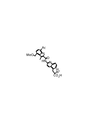 COCc1ccc(C(C)=O)c2sc(C(=O)Nc3ccc4c(CC(N)C(=O)O)cccc4n3)c(C)c12